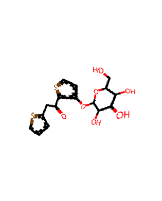 O=C(Cc1cccs1)c1sccc1OC1OC(CO)C(O)C(O)C1O